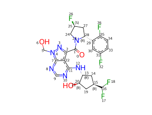 O=C(c1nn(CO)c2ncnc(N[C@@H]3C[C@@H](C(F)F)C[C@H]3O)c12)N1C[C@@H](F)C[C@@H]1c1cc(F)ccc1F